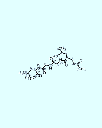 CC(=O)SCC(CC(C)C)C(=O)NCC(=O)NCC(=O)N[C@@H](CC(C)C)C(=O)O